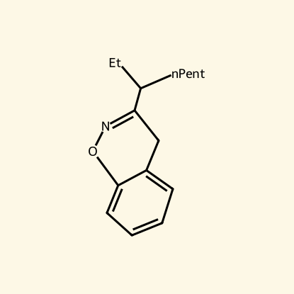 CCCCCC(CC)C1=NOc2ccccc2C1